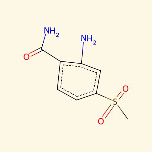 CS(=O)(=O)c1ccc(C(N)=O)c(N)c1